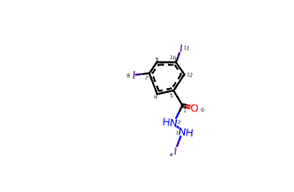 O=C(NNI)c1cc(I)cc(I)c1